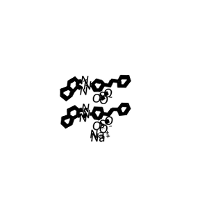 O=S(=O)([O-])c1cc(-n2nc3ccc4ccccc4c3n2)ccc1C=Cc1ccccc1.O=S(=O)([O-])c1cc(-n2nc3ccc4ccccc4c3n2)ccc1C=Cc1ccccc1.[Na+].[Na+]